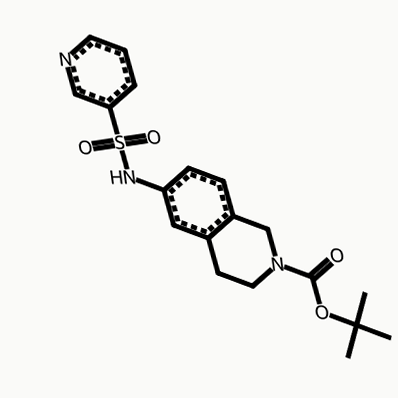 CC(C)(C)OC(=O)N1CCc2cc(NS(=O)(=O)c3cccnc3)ccc2C1